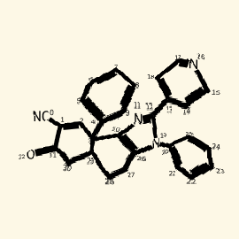 N#CC1=CC2(c3ccccc3)c3nc(-c4ccncc4)n(-c4ccccc4)c3CCC2CC1=O